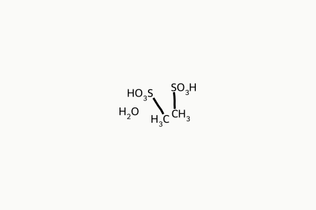 CS(=O)(=O)O.CS(=O)(=O)O.O